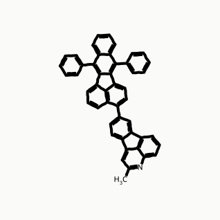 Cc1cc2c3c(cccc3n1)-c1cc(-c3ccc4c5c(cccc35)-c3c-4c(-c4ccccc4)c4ccccc4c3-c3ccccc3)ccc1-2